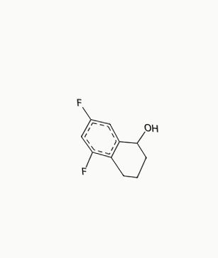 OC1CCCc2c(F)cc(F)cc21